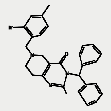 Cc1ccc(CN2CCc3nc(C)n(C(c4ccccc4)c4ccccc4)c(=O)c3C2)c(Br)c1